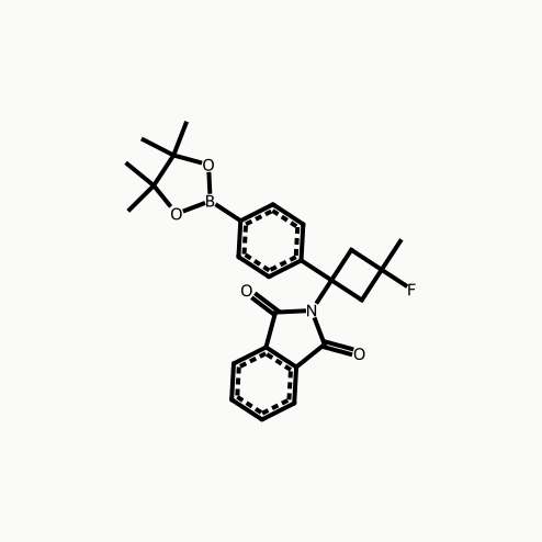 CC1(F)CC(c2ccc(B3OC(C)(C)C(C)(C)O3)cc2)(N2C(=O)c3ccccc3C2=O)C1